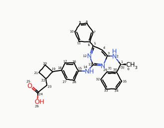 C[C@H](Nc1cc(-c2ccccc2)nc(Nc2ccc(C3CCC3CC(=O)O)cc2)n1)c1ccccc1